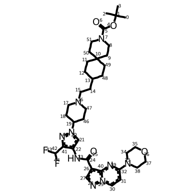 CC(C)(C)OC(=O)N1CCC2(CCC(CCN3CCC(n4cc(NC(=O)c5cnn6ccc(N7CCOCC7)nc56)c(C(F)F)n4)CC3)CC2)CC1